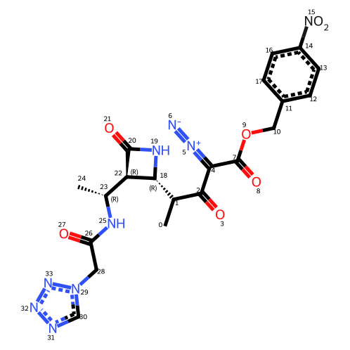 CC(C(=O)C(=[N+]=[N-])C(=O)OCc1ccc([N+](=O)[O-])cc1)[C@H]1NC(=O)[C@@H]1[C@@H](C)NC(=O)Cn1cnnn1